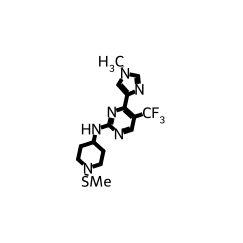 CSN1CCC(Nc2ncc(C(F)(F)F)c(-c3cn(C)cn3)n2)CC1